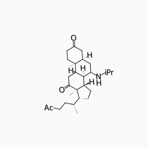 CC(=O)CC[C@@H](C)[C@H]1CC[C@H]2[C@@H]3C(NC(C)C)C[C@@H]4CC(=O)CC[C@]4(C)[C@H]3CC(=O)[C@]12C